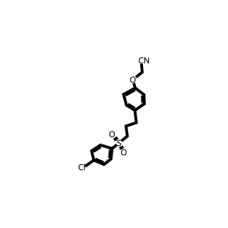 N#CCOc1ccc(CCCS(=O)(=O)c2ccc(Cl)cc2)cc1